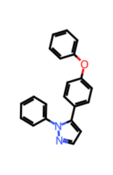 c1ccc(Oc2ccc(-c3ccnn3-c3ccccc3)cc2)cc1